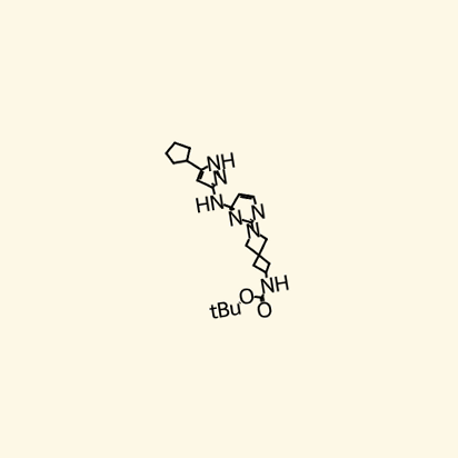 CC(C)(C)OC(=O)NC1CC2(C1)CN(c1nccc(Nc3cc(C4CCCC4)[nH]n3)n1)C2